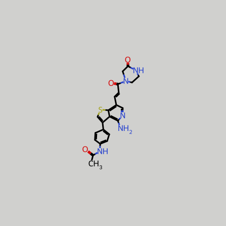 CC(=O)Nc1ccc(-c2csc3c(C=CC(=O)N4CCNC(=O)C4)cnc(N)c23)cc1